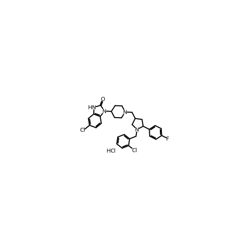 Cl.O=c1[nH]c2cc(Cl)ccc2n1C1CCN(CC2CC(c3ccc(F)cc3)N(Cc3ccccc3Cl)C2)CC1